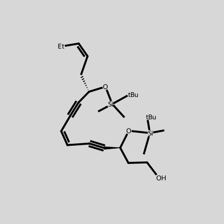 CC/C=C\C[C@@H](C#C/C=C\C#C[C@H](CCO)O[Si](C)(C)C(C)(C)C)O[Si](C)(C)C(C)(C)C